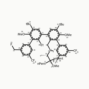 CCCCCC(CCCCC)(OC)[C@H](C)N(C)Cc1c(-c2cc(C(C)(C)C)c(OC)c(-c3cc(CF)cc(C(F)(F)F)c3)c2CC)cc(C(C)(C)C)c(OC)c1-c1cc(C(F)(F)F)cc(C(F)(F)F)c1